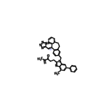 CNC(=O)CCc1nc2c(C)cc(-c3ccccc3)cc2n1Cc1ccc2c(c1)CCc1ccccc1/C2=C\c1nnn[nH]1